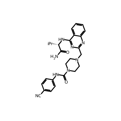 CC(C)[C@H](Nc1nc(CN2CCN(C(=O)Nc3ccc(C#N)cc3)CC2)nc2ccccc12)C(N)=O